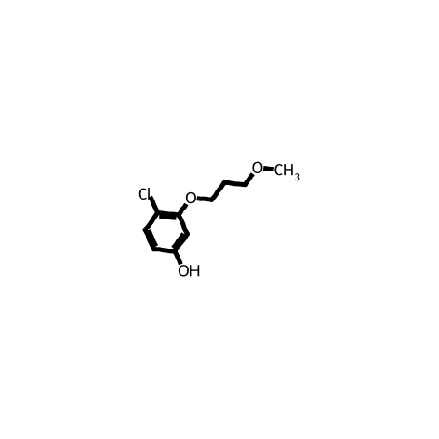 COCCCOc1cc(O)ccc1Cl